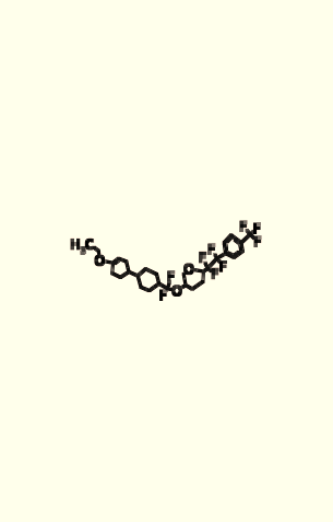 CCOC1=CCC(C2CCC(C(F)(F)OC3CCC(C(F)(F)C(F)(F)c4ccc(C(F)(F)F)cc4)OC3)CC2)CC1